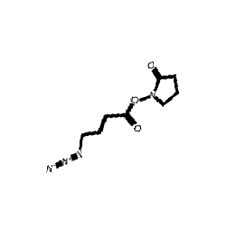 [N-]=[N+]=NCCCC(=O)ON1CCCC1=O